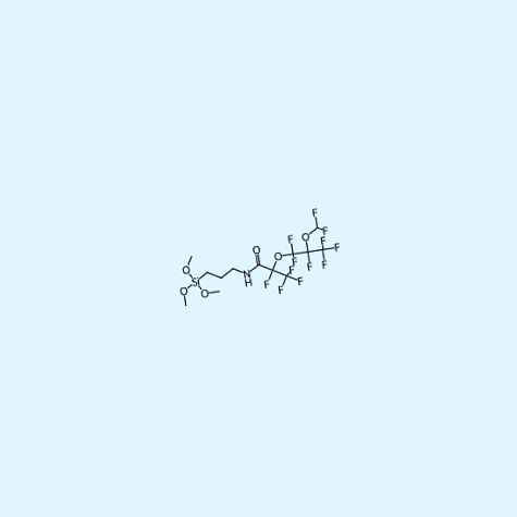 CO[Si](CCCNC(=O)C(F)(OC(F)(F)C(F)(OC(F)F)C(F)(F)F)C(F)(F)F)(OC)OC